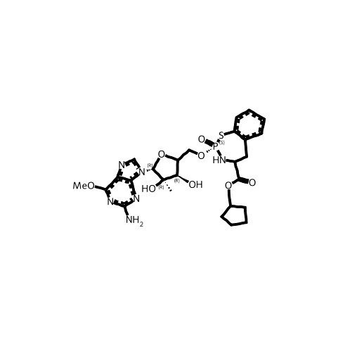 COc1nc(N)nc2c1ncn2[C@@H]1OC(CO[P@@]2(=O)NC(C(=O)OC3CCCC3)Cc3ccccc3S2)[C@@H](O)[C@@]1(C)O